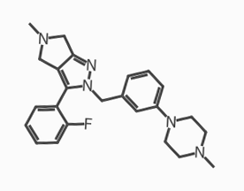 CN1CCN(c2cccc(Cn3nc4c(c3-c3ccccc3F)CN(C)C4)c2)CC1